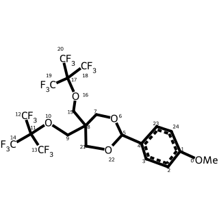 COc1ccc(C2OCC(COC(C(F)(F)F)(C(F)(F)F)C(F)(F)F)(COC(C(F)(F)F)(C(F)(F)F)C(F)(F)F)CO2)cc1